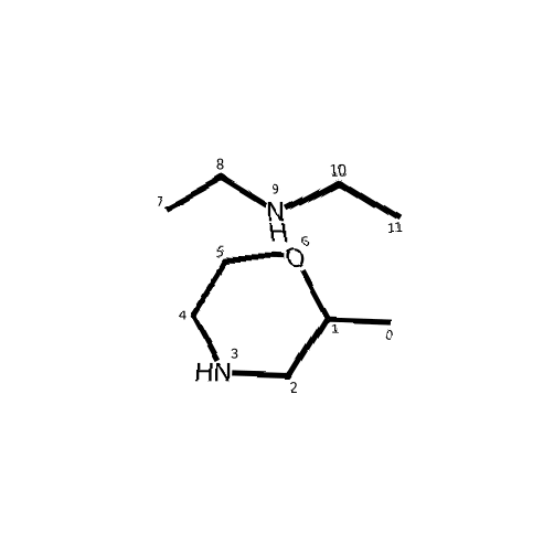 CC1CNCCO1.CCNCC